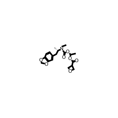 CCN(C(=O)OC(C)OC(=O)C1COC1)[C@@H](C)Cc1ccc2c(c1)OCO2